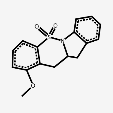 COc1cccc2c1CC1Cc3ccccc3N1S2(=O)=O